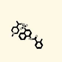 Cc1ccccc1C(=O)Nc1ccc(S(=O)(=O)NC(C)C2CCN(C)CC2)c2ccccc12